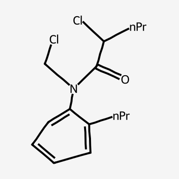 CCCc1ccccc1N(CCl)C(=O)C(Cl)CCC